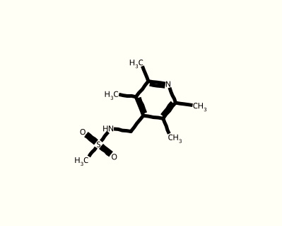 Cc1nc(C)c(C)c(CNS(C)(=O)=O)c1C